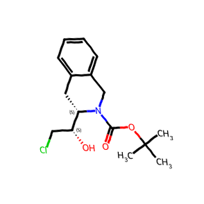 CC(C)(C)OC(=O)N1Cc2ccccc2C[C@H]1[C@H](O)CCl